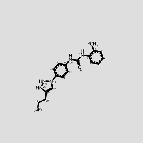 Cc1ccccc1NC(=O)Nc1ccc(N2C=C(CCC(C)C)NN2)cc1